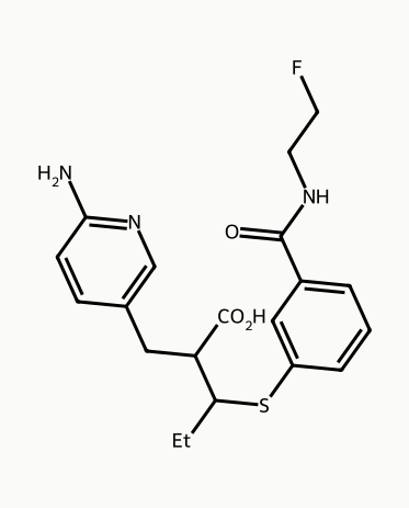 CCC(Sc1cccc(C(=O)NCCF)c1)C(Cc1ccc(N)nc1)C(=O)O